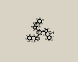 Oc1csc(-c2nc(-c3scc(O)c3Cc3ccccc3)nc(-c3scc(O)c3Cc3ccccc3)n2)c1Cc1ccccc1